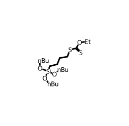 CCCCO[Si](CCCCSC(=S)OCC)(OCCCC)OCCCC